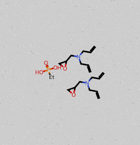 C=CCN(CC=C)CC1CO1.C=CCN(CC=C)CC1CO1.CCP(=O)(O)O